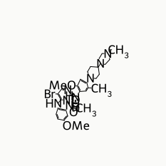 COc1ccc(Nc2nc(Nc3cc(C)c(N4CCC(N5CCN(C)CC5)CC4)cc3OC)ncc2Br)c(NS(C)(=O)=O)c1